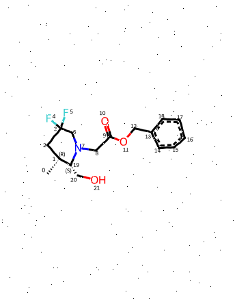 C[C@@H]1CC(F)(F)CN(CC(=O)OCc2ccccc2)[C@@H]1CO